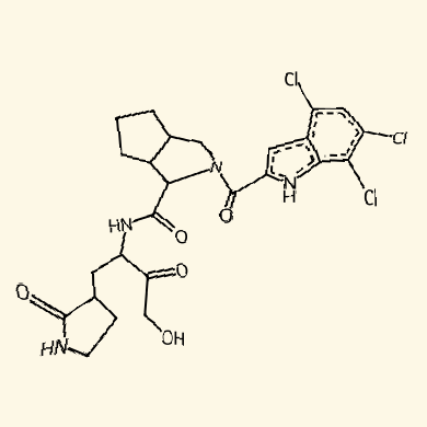 O=C1NCCC1CC(NC(=O)C1C2CCCC2CN1C(=O)c1cc2c(Cl)cc(Cl)c(Cl)c2[nH]1)C(=O)CO